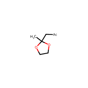 CC(=O)CC1(C)OCCO1